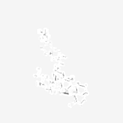 C#Cc1c(F)ccc2cccc(-c3nc4c5c(nc(OCC6(CN7CCC(OC(F)(F)F)CC7)CC6)nc5c3F)N3C[C@@H](CC)NC[C@H]3CC4)c12